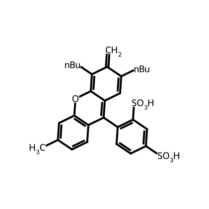 C=c1c(CCCC)cc2c(c1CCCC)Oc1cc(C)ccc1C=2c1ccc(S(=O)(=O)O)cc1S(=O)(=O)O